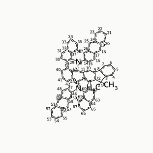 CC1(C)c2ccccc2-c2cc3c(N(c4ccc5cc6ccccc6cc5c4)c4cccc5ccccc45)c4ccccc4c(N(c4ccc5cc6ccccc6cc5c4)c4cccc5ccccc45)c3cc21